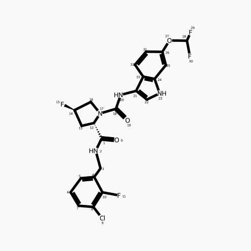 O=C(NCc1cccc(Cl)c1F)[C@@H]1C[C@@H](F)CN1C(=O)Nc1c[nH]c2cc(OC(F)F)ccc12